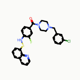 O=C(c1ccc(NSc2cccc3cccnc23)c(F)c1)N1CCN(Cc2cccc(Cl)c2)CC1